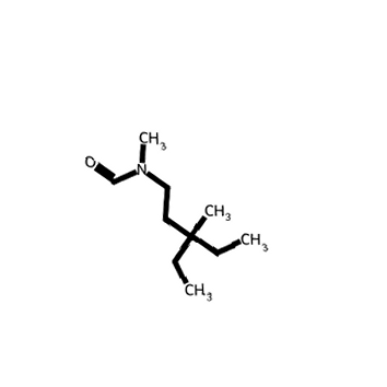 CCC(C)(CC)CCN(C)C=O